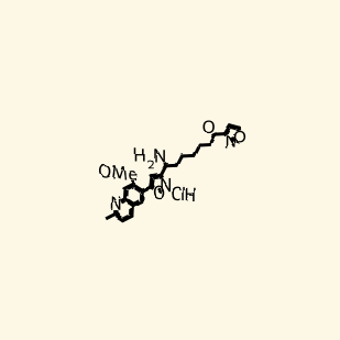 COc1cc2nc(C)ccc2cc1-c1cc(C(N)CCCCCC(=O)c2ccon2)no1.Cl